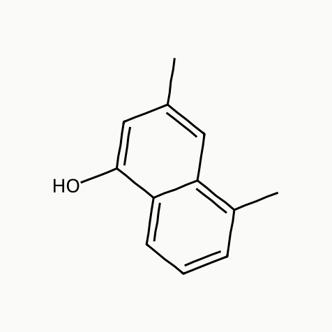 Cc1cc(O)c2cccc(C)c2c1